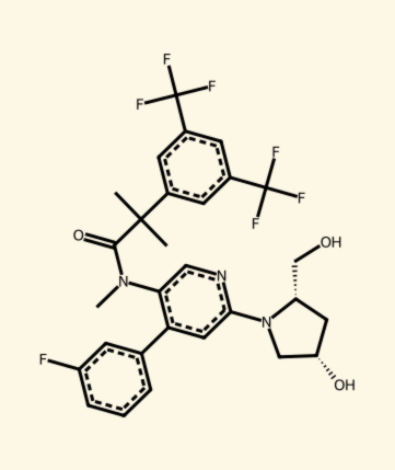 CN(C(=O)C(C)(C)c1cc(C(F)(F)F)cc(C(F)(F)F)c1)c1cnc(N2C[C@@H](O)C[C@H]2CO)cc1-c1cccc(F)c1